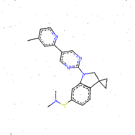 Cc1ccnc(-c2cnc(N3CC4(CC4)c4ccc(SN(C)C)cc43)nc2)c1